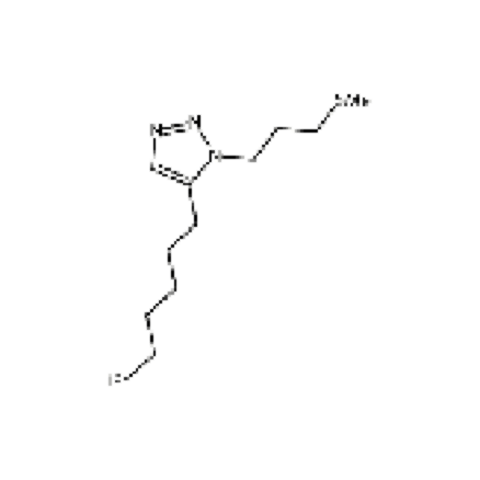 CSCCCn1nncc1CCCCCC(C)C